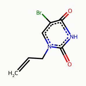 C=CCn1cc(Br)c(=O)[nH]c1=O